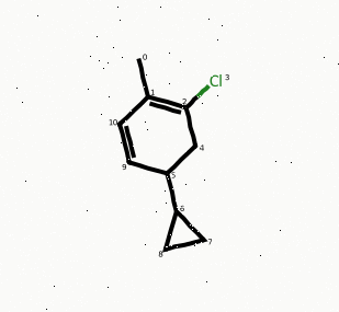 CC1=C(Cl)CC(C2CC2)C=C1